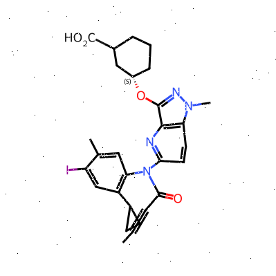 CC#CC(=O)N(c1ccc2c(n1)c(O[C@H]1CCCC(C(=O)O)C1)nn2C)c1cc(C)c(I)cc1C1CC1